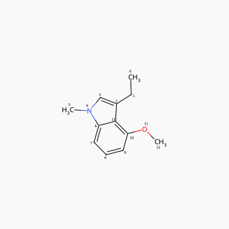 CCc1cn(C)c2cccc(OC)c12